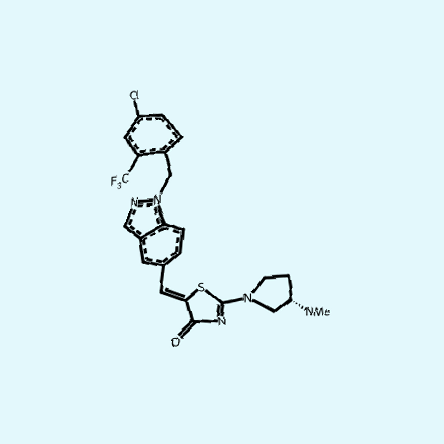 CN[C@H]1CCN(C2=NC(=O)/C(=C/c3ccc4c(cnn4Cc4ccc(Cl)cc4C(F)(F)F)c3)S2)C1